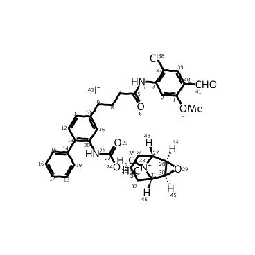 COc1cc(NC(=O)CCCc2ccc(-c3ccccc3)c(NC(=O)O[C@@H]3C[C@@H]4[C@H]5O[C@H]5[C@H](C3)[N+]4(C)C)c2)c(Cl)cc1C=O.[I-]